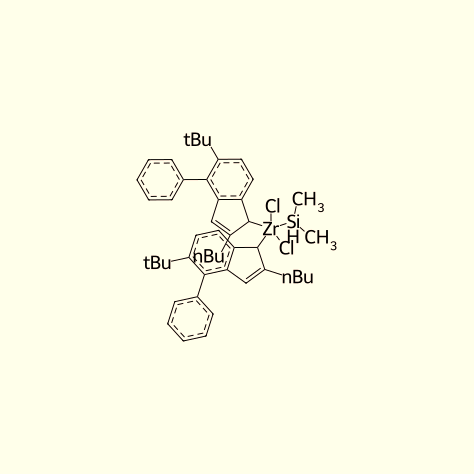 CCCCC1=Cc2c(ccc(C(C)(C)C)c2-c2ccccc2)[CH]1[Zr]([Cl])([Cl])([CH]1C(CCCC)=Cc2c1ccc(C(C)(C)C)c2-c1ccccc1)[SiH](C)C